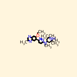 CCOc1cc2ncc(C)nc2cc1-c1ccc(N(C)C2CC(C)(C)NC(C)(C)C2)nn1